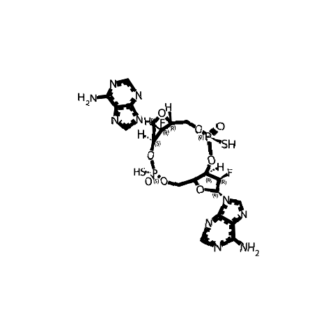 Nc1ncnc2c1ncn2[C@@H]1OC2CO[P@](=O)(S)O[C@@H]3[C@H](F)[C@@H](CO[P@@](=O)(S)O[C@H]2[C@H]1F)O[C@H]3n1cnc2c(N)ncnc21